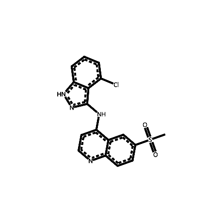 CS(=O)(=O)c1ccc2nccc(Nc3n[nH]c4cccc(Cl)c34)c2c1